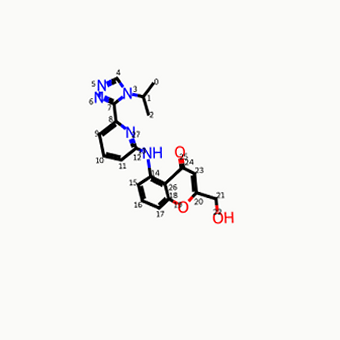 CC(C)n1cnnc1-c1cccc(Nc2cccc3oc(CO)cc(=O)c23)n1